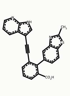 Cc1nc2cc(-c3c(C#Cc4c[nH]c5ncccc45)cccc3C(=O)O)ccc2s1